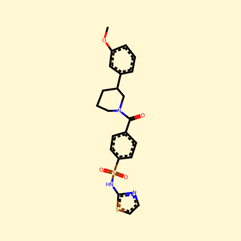 COc1cccc(C2CCCN(C(=O)c3ccc(S(=O)(=O)Nc4nccs4)cc3)C2)c1